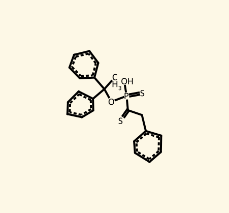 CC(OP(O)(=S)C(=S)Cc1ccccc1)(c1ccccc1)c1ccccc1